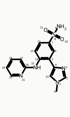 Cn1cnc(-c2cc(S(N)(=O)=O)ccc2Nc2ccccn2)c1